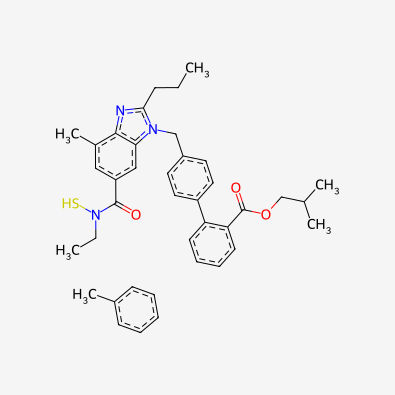 CCCc1nc2c(C)cc(C(=O)N(S)CC)cc2n1Cc1ccc(-c2ccccc2C(=O)OCC(C)C)cc1.Cc1ccccc1